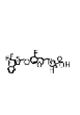 O=C(O)[C@@]12C[C@@H]1CN(CC1=Cc3c(F)cc(OCc4cc(-c5ccccc5)c(C(F)(F)F)s4)cc3OC1)C2